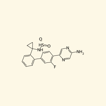 Nc1cnc(-c2ccc(-c3ccccc3C3(N[SH](=O)=O)CC3)cc2F)cn1